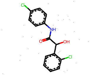 O=C(Nc1ccc(Cl)cc1)C(O)c1ccccc1Cl